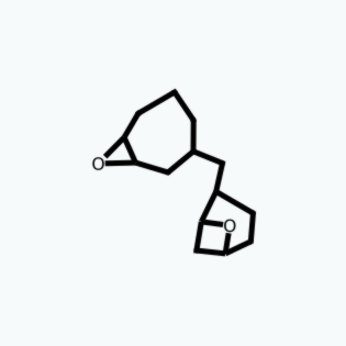 C1CC(CC2CCC3CC2O3)CC2OC2C1